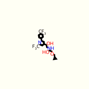 OC(CN[C@@H](O)COCC1CC1)c1cc(-c2ccc(C(F)(F)F)cc2)nc(C(F)(F)F)c1